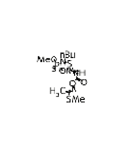 CCCCN(SCNC(=O)ON=C(C)SC)P(=S)(OC)OC